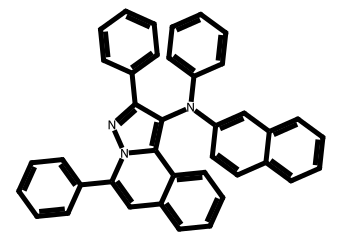 c1ccc(-c2nn3c(-c4ccccc4)cc4ccccc4c3c2N(c2ccccc2)c2ccc3ccccc3c2)cc1